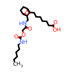 CCCCCCNC(=O)OCC(=O)NCC1C2CCC(O2)C1CCCCCCC(=O)O